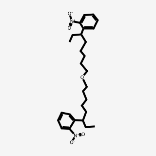 CCC(CCCCCOCCCCCC(CC)c1ccccc1[N+](=O)[O-])c1ccccc1[N+](=O)[O-]